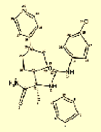 NC(=O)[C@](Cc1ccccc1)(NC(=O)Nc1ccc(Cl)cc1)C1CCN(c2ccncc2)CC1